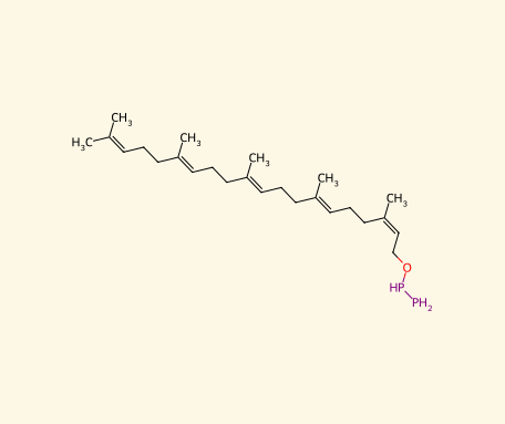 CC(C)=CCC/C(C)=C/CC/C(C)=C/CC/C(C)=C/CC/C(C)=C\COPP